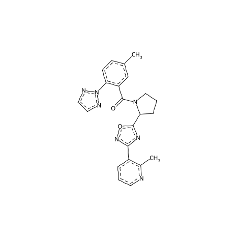 Cc1ccc(-n2nccn2)c(C(=O)N2CCCC2c2nc(-c3cccnc3C)no2)c1